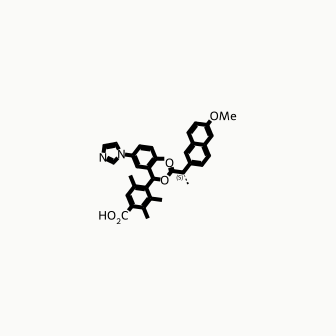 COc1ccc2cc([C@H](C)C(=O)OC(c3cc(-n4ccnc4)ccc3C)c3c(C)cc(C(=O)O)c(C)c3C)ccc2c1